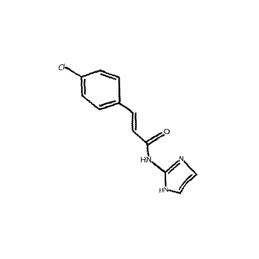 O=C(/C=C/c1ccc(Cl)cc1)Nc1ncc[nH]1